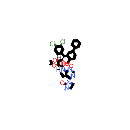 CN1CCN(c2ncnc3c2ccn3[C@@H]2O[C@H](C(c3ccc(Cl)c(Cl)c3)c3cc(-c4ccccc4)ccc3C(=O)O)[C@H]3OC(C)(C)O[C@H]32)C1=O